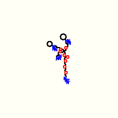 Cn1cc(COCC(COCc2cn(C3CCCCCCC3)nn2)(COCc2cn(C3CCCCCC3)nn2)COC(=O)COCCOCCOCCN=[N+]=[N-])nn1